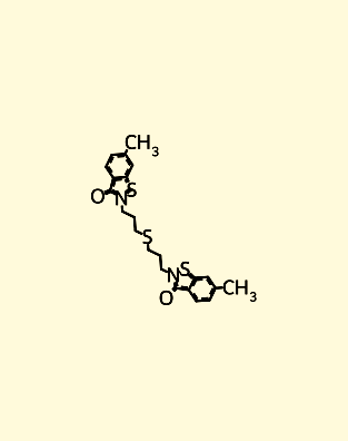 Cc1ccc2c(=O)n(CCCSCCCn3sc4cc(C)ccc4c3=O)sc2c1